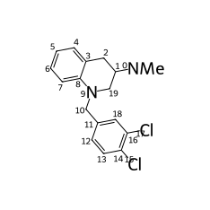 CNC1Cc2ccccc2N(Cc2ccc(Cl)c(Cl)c2)C1